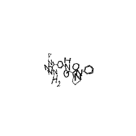 Nc1ncnc2c1c(-c1ccc(NC(=O)c3c4n(n(-c5ccccc5)c3=O)CCC4)cc1)cn2CC1CC1